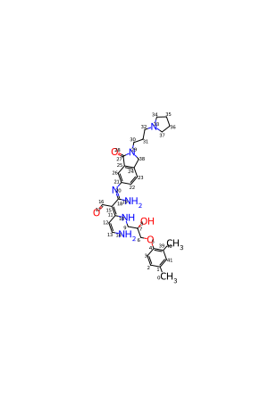 Cc1ccc(OC[C@H](O)CNC(/C=C\N)=C(C=O)\C(N)=N\c2ccc3c(c2)C(=O)N(CCCN2CCCC2)C3)c(C)c1